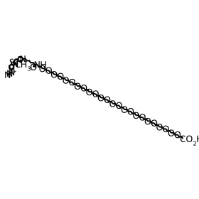 C[n+]1c(C=C2C=CN(CCCCCC(=O)NCCOCCOCCOCCOCCOCCOCCOCCOCCOCCOCCOCCOCCOCCOCCOCCOCCOCCOCCOCCOCCOCCOCCOCCOCCC(=O)O)C=C2)sc2ccc(N=[N+]=[N-])cc21